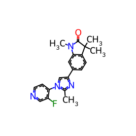 Cc1nc(-c2ccc3c(c2)N(C)C(=O)C3(C)C)cn1-c1ccncc1F